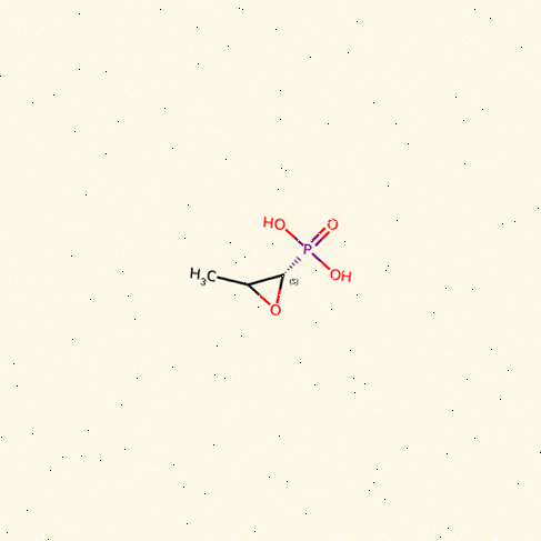 CC1O[C@H]1P(=O)(O)O